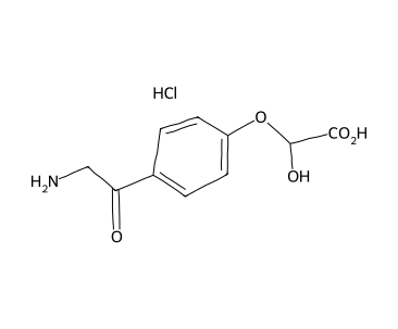 Cl.NCC(=O)c1ccc(OC(O)C(=O)O)cc1